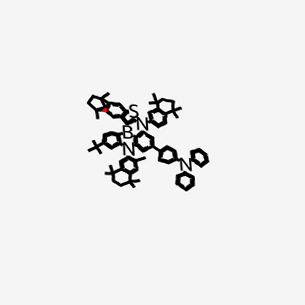 Cc1cc2c(cc1N1c3cc(C(C)(C)C)ccc3B3c4c1cc(-c1ccc(N(c5ccccc5)c5ccccc5)cc1)cc4N(c1ccc4c(c1)C(C)(C)CCC4(C)C)c1sc4cc5c(cc4c13)C1(C)CCC5(C)C1)C(C)(C)CCC2(C)C